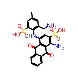 Cc1cc(CN)c(Nc2cc(S(=O)(=O)O)c(N)c3c2C(=O)c2ccccc2C3=O)c(S(=O)(=O)O)c1